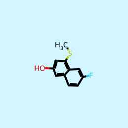 CSc1cc(O)cc2ccc(F)cc12